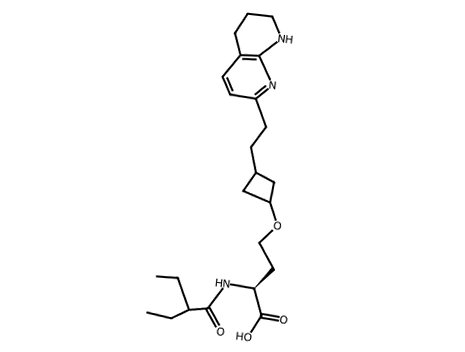 CCC(CC)C(=O)N[C@@H](CCOC1CC(CCc2ccc3c(n2)NCCC3)C1)C(=O)O